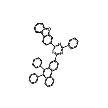 c1ccc(-c2nc(-c3ccc4c(c3)oc3ccccc34)nc(-c3ccc4c(c3)c(-c3ccccc3)c(-c3ccccc3)c3ccccc34)n2)cc1